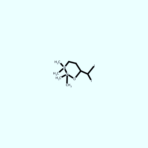 C[Si]1(C)CCC(C(I)I)O[Si]1(C)C